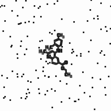 CCOC(=O)c1ccc2nc(C)cc(Nc3ccc(C)cc3C)c2c1